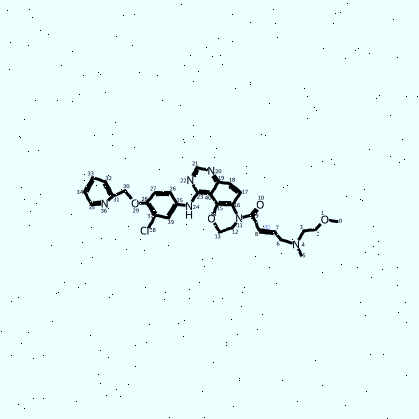 COCCN(C)C/C=C/C(=O)N1CCOc2c1ccc1ncnc(Nc3ccc(OCc4ccccn4)c(Cl)c3)c21